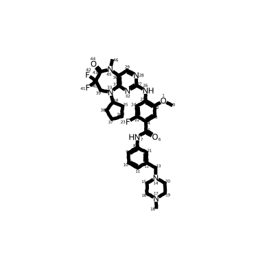 COc1cc(C(=O)Nc2cccc(CN3CCN(C)CC3)c2)c(F)cc1Nc1ncc2c(n1)N(C1CCCC1)CC(F)(F)C(=O)N2C